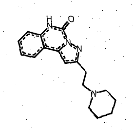 O=c1[nH]c2ccccc2c2cc(CCN3CCCCC3)nn12